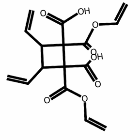 C=COC(=O)C1(C(=O)O)C(C=C)C(C=C)C1(C(=O)O)C(=O)OC=C